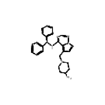 NC1CCN(Cc2ccn3ncnc(NC(c4ccccc4)c4ccccc4)c23)CC1